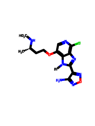 CCn1c(-c2nonc2N)nc2c(Cl)ncc(OCC[C@H](C)NC(=O)O)c21